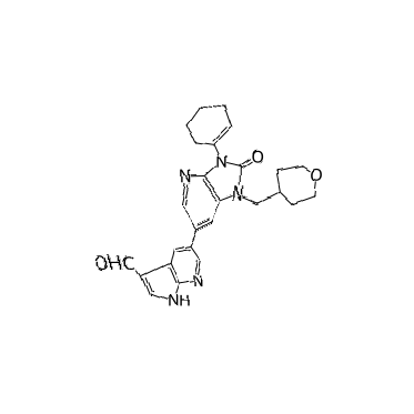 O=Cc1c[nH]c2ncc(-c3cnc4c(c3)n(CC3CCOCC3)c(=O)n4C3=CCCCC3)cc12